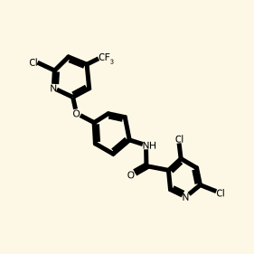 O=C(Nc1ccc(Oc2cc(C(F)(F)F)cc(Cl)n2)cc1)c1cnc(Cl)cc1Cl